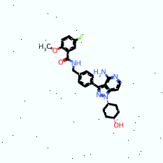 COc1ccc(F)cc1C(=O)NCc1ccc(-c2nn([C@H]3CC[C@@H](O)CC3)c3ccnc(N)c23)cc1